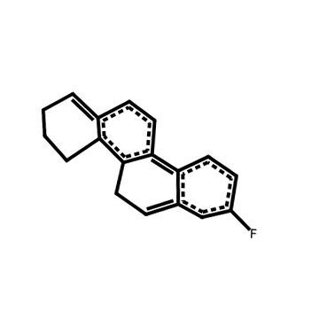 Fc1ccc2c(c1)=CCc1c3c(ccc1=2)=CCCC3